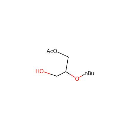 CCCCOC(CO)COC(C)=O